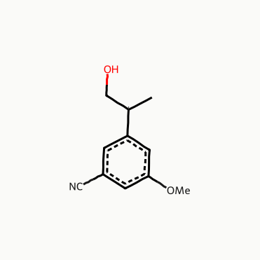 COc1cc(C#N)cc([C](C)CO)c1